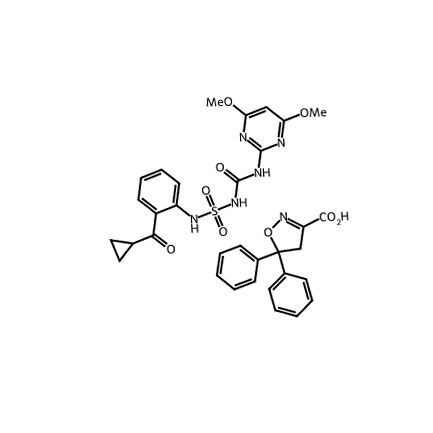 COc1cc(OC)nc(NC(=O)NS(=O)(=O)Nc2ccccc2C(=O)C2CC2)n1.O=C(O)C1=NOC(c2ccccc2)(c2ccccc2)C1